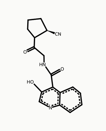 N#C[C@@H]1CCCC1C(=O)CNC(=O)c1c(O)cnc2ccccc12